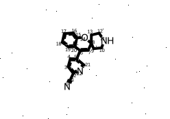 N#Cc1ccc(C2=CC3(CCNCC3)Oc3ccccc32)cn1